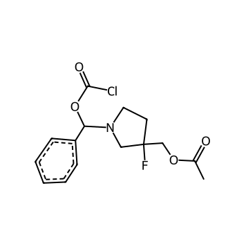 CC(=O)OCC1(F)CCN(C(OC(=O)Cl)c2ccccc2)C1